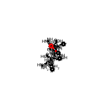 N=C(N)NCCC[C@H](NC(=O)[C@H](CCC(=O)O)NC(=O)[C@H](Cc1ccc(O)cc1)NC(=O)CNC(=O)[C@H](Cc1ccccc1)NC(=O)[C@H](CCCNC(=N)N)NC(=O)[C@H](CCC(=O)O)NC(=O)[C@H](Cc1ccc(O)cc1)NC(=O)OCc1ccccc1)C(=O)N[C@@H](Cc1ccccc1)C(N)=O